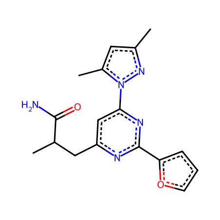 Cc1cc(C)n(-c2cc(CC(C)C(N)=O)nc(-c3ccco3)n2)n1